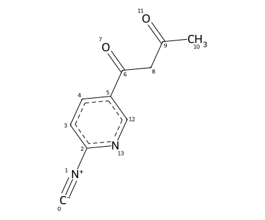 [C-]#[N+]c1ccc(C(=O)CC(C)=O)cn1